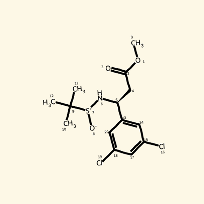 COC(=O)C[C@H](N[S+]([O-])C(C)(C)C)c1cc(Cl)cc(Cl)c1